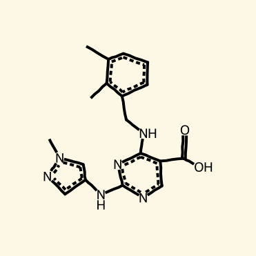 Cc1cccc(CNc2nc(Nc3cnn(C)c3)ncc2C(=O)O)c1C